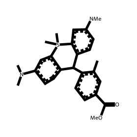 CNc1ccc2c(c1)S(C)(C)c1cc(N(C)C)ccc1C2c1ccc(C(=O)OC)cc1C